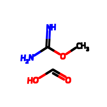 COC(=N)N.O=CO